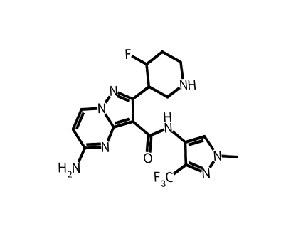 Cn1cc(NC(=O)c2c(C3CNCCC3F)nn3ccc(N)nc23)c(C(F)(F)F)n1